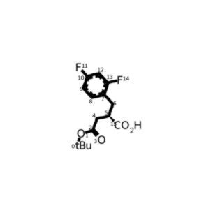 CC(C)(C)OC(=O)C[C@@H](Cc1ccc(F)cc1F)C(=O)O